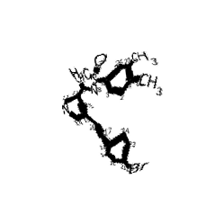 Cc1ccc(S(C)(=O)=NC(=O)c2cncc(C#Cc3ccc(Br)cc3)c2)cc1C